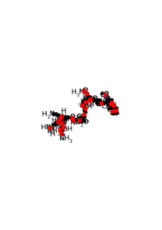 COC(=O)/C=C/c1ccc(C2(OC)OOC23C2CC4CC(C2)CC3C4)c(Cl)c1OCc1ccc(NC(=O)C(CCCNC(N)=O)NC(=O)C(NC(=O)CCCCCN2C(=O)CC(SC[C@@H](N)C(=O)NCC(=O)N[C@H](CCCCN)C(=O)N[C@H](CCCNC(=N)N)C(=O)N[C@H](CCCCN)C(=O)O)C2O)C(C)C)cc1